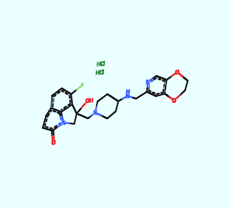 Cl.Cl.O=c1ccc2ccc(F)c3c2n1CC3(O)CN1CCC(NCc2cc3c(cn2)OCCO3)CC1